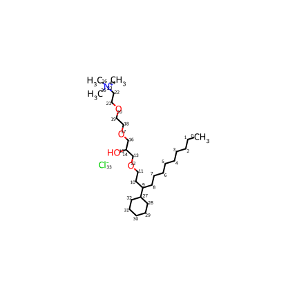 CCCCCCCCCC(CCOCC(O)COCCOCC[N+](C)(C)C)C1CCCCC1.[Cl-]